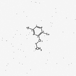 CCOc1cc(F)ccc1I